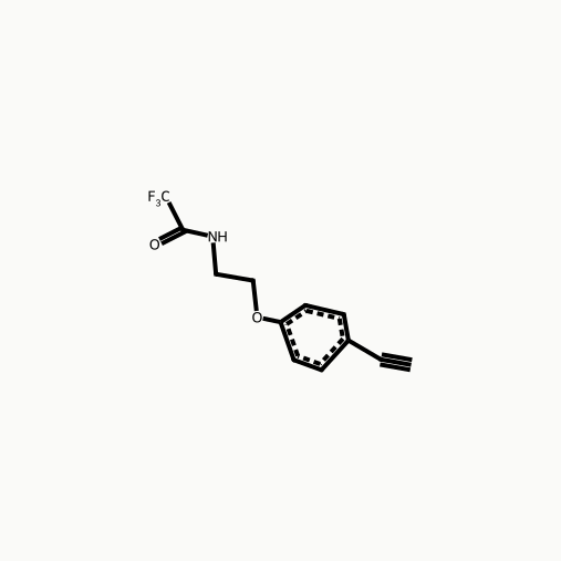 C#Cc1ccc(OCCNC(=O)C(F)(F)F)cc1